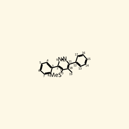 CSc1c(-c2ccccc2)nnc(-c2ccccc2)c1C